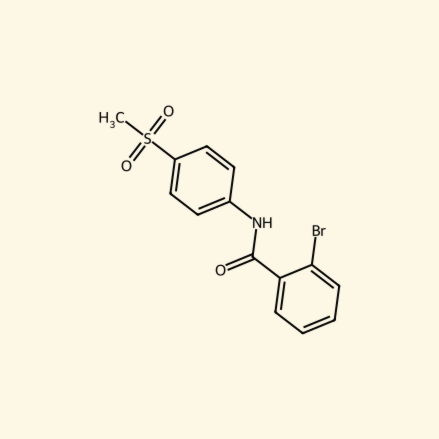 CS(=O)(=O)c1ccc(NC(=O)c2ccccc2Br)cc1